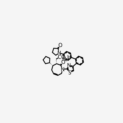 O=C(O)C[C@@H]1C(=O)N(c2nc(-c3ccccc3-c3ccc(N4CCCC4=O)nc3)cs2)C/C=C\C[C@@H]1C1CCCC1